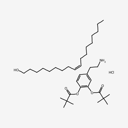 CC(C)(C)C(=O)Oc1ccc(CCN)cc1OC(=O)C(C)(C)C.CCCCCCCC/C=C\CCCCCCCCO.Cl